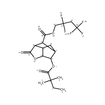 CCC(C)(C)C(=O)OC1C2CC3C1OC(=O)C3C2C(=O)OCC(F)(F)CC(F)(F)F